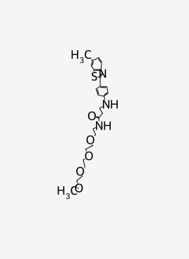 COCCOCCOCCOCCNC(=O)CCNc1ccc(-c2nc3ccc(C)cc3s2)cc1